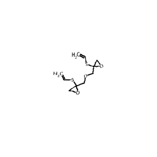 C=CSC1(COCC2(SC=C)CO2)CO1